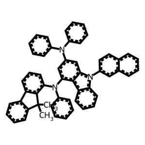 CC1(C)c2ccccc2-c2cccc(N(c3ccccc3)c3cc(N(c4ccccc4)c4ccccc4)cc4c3c3ccccc3n4-c3ccc4ccccc4c3)c21